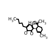 C=C(C)C1CCC(C)=C[C@H]1C1=C(O)C=C(CCCCC)C(=O)C1=O